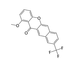 COc1cccc2oc3cc4ccc(C(F)(F)F)cc4cc3c(=O)c12